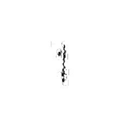 CCCCN(CCCCCCNC(=O)OCC)C(=O)O